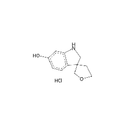 Cl.Oc1ccc2c(c1)NCC21CCOC1